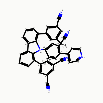 Cc1cc(C#N)cc(-c2cccc3c4cccc(-c5cc(C#N)cc(C#N)c5)c4n(-c4cc(C#N)c(-c5ccncc5)cc4C)c23)c1